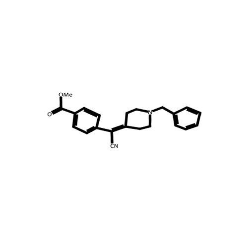 COC(=O)c1ccc(C(C#N)=C2CCN(Cc3ccccc3)CC2)cc1